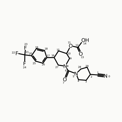 N#CC1CCN(C(=O)N2CC(OC(=O)O)CC(c3ccc(C(F)(F)F)cc3)C2)CC1